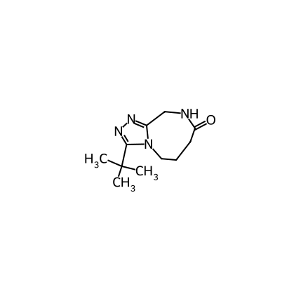 CC(C)(C)c1nnc2n1CCCC(=O)NC2